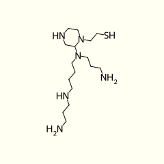 NCCCNCCCCN(CCCN)C1CNCCN1CCS